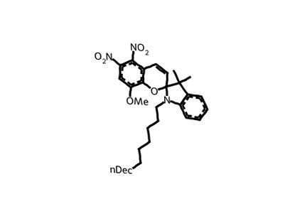 CCCCCCCCCCCCCCCCN1c2ccccc2C(C)(C)C12C=Cc1c(c(OC)cc([N+](=O)[O-])c1[N+](=O)[O-])O2